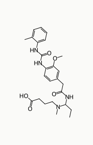 CCC(NC(=O)Cc1ccc(NC(=O)Nc2ccccc2C)c(OC)c1)N(C)CCCC(=O)O